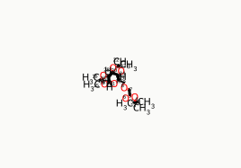 CC(C)(C)OC(=O)COC[C@H]1O[C@@H]2OC(C)(C)O[C@@H]2[C@H]2OC(C)(C)O[C@H]21